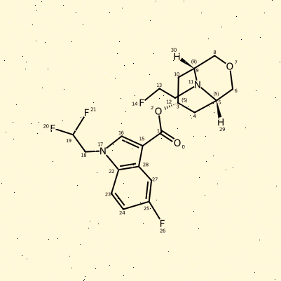 O=C(O[C@H]1C[C@H]2COC[C@@H](C1)N2CCF)c1cn(CC(F)F)c2ccc(F)cc12